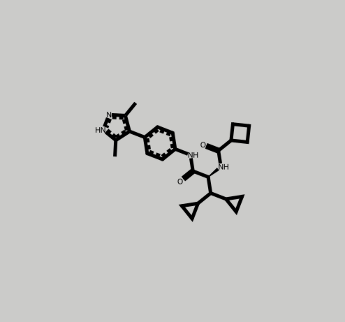 Cc1n[nH]c(C)c1-c1ccc(NC(=O)[C@@H](NC(=O)C2CCC2)C(C2CC2)C2CC2)cc1